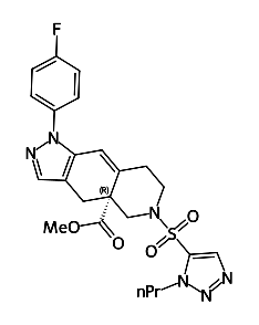 CCCn1nncc1S(=O)(=O)N1CCC2=Cc3c(cnn3-c3ccc(F)cc3)C[C@]2(C(=O)OC)C1